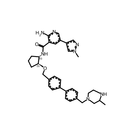 CC1CN(Cc2ccc(-c3ccc(CO[C@H]4CCC[C@@H]4NC(=O)c4cc(-c5cnn(C)c5)cnc4N)cc3)cc2)CCN1